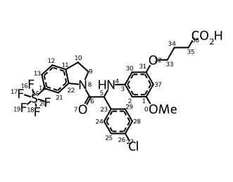 COc1cc(NC(C(=O)N2CCc3ccc(S(F)(F)(F)(F)F)cc32)c2ccc(Cl)cc2)cc(OCCCC(=O)O)c1